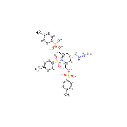 Cc1ccc(S(=O)(=O)OC[C@@H]2C[C@@H](CN=[N+]=[N-])C[C@H](COS(=O)(=O)c3ccc(C)cc3)N2S(=O)(=O)c2ccc(C)cc2)cc1